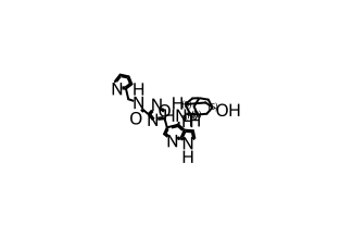 O=C(NCc1ccccn1)c1noc(-c2cnc3[nH]ccc3c2N[C@H]2[C@@H]3CC4C[C@H]2C[C@@](O)(C4)C3)n1